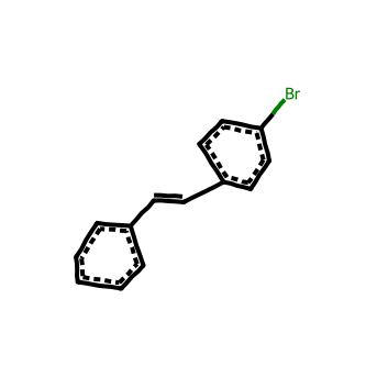 Brc1ccc(/C=C/c2ccccc2)cc1